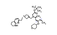 C=C(/C=C(\C=C/C)OC1CCOCC1)[C@H](CC(=O)OC(C)(C)C)CN1CC[C@@H](CCc2ccc3c(n2)NCCC3)C1